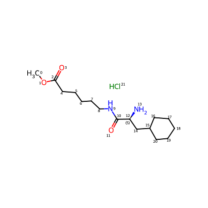 COC(=O)CCCCCNC(=O)[C@@H](N)CC1CCCCC1.Cl